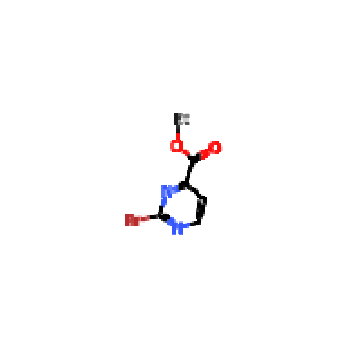 CCOC(=O)c1ccnc(Br)n1